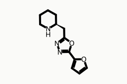 c1coc(-c2nnc(C[C@@H]3CCCCN3)o2)c1